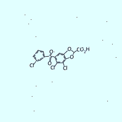 O=C(O)C1Oc2cc(S(=O)(=O)c3cccc(Cl)c3)c(Cl)c(Cl)c2O1